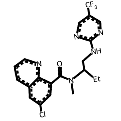 CCC(CNc1ncc(C(F)(F)F)cn1)N(C)C(=O)c1cc(Cl)cc2cccnc12